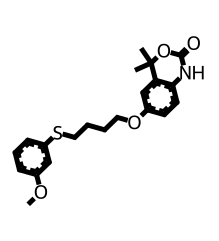 COc1cccc(SCCCCOc2ccc3c(c2)C(C)(C)OC(=O)N3)c1